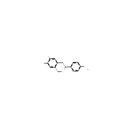 CSc1ccc(C2Cc3cc(O)c(O)cc3CN2)cc1